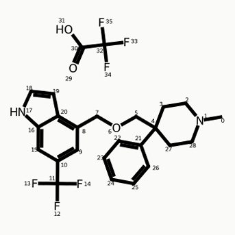 CN1CCC(COCc2cc(C(F)(F)F)cc3[nH]ccc23)(c2ccccc2)CC1.O=C(O)C(F)(F)F